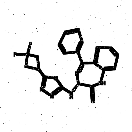 O=C1Nc2ccccc2C(c2ccccc2)=N[C@@H]1Nc1nnc(C2CC(F)(F)C2)o1